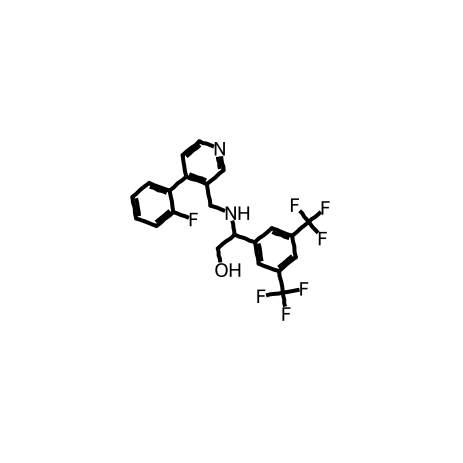 OCC(NCc1cnccc1-c1ccccc1F)c1cc(C(F)(F)F)cc(C(F)(F)F)c1